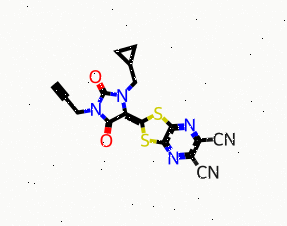 C#CCN1C(=O)C(=C2Sc3nc(C#N)c(C#N)nc3S2)N(CC2CC2)C1=O